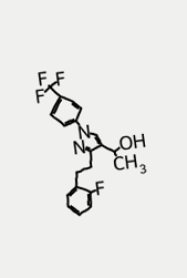 CC(O)c1cn(-c2ccc(C(F)(F)F)cc2)nc1CCc1ccccc1F